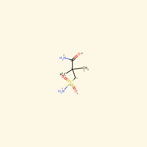 CC(C)(CS(N)(=O)=O)C(N)=O